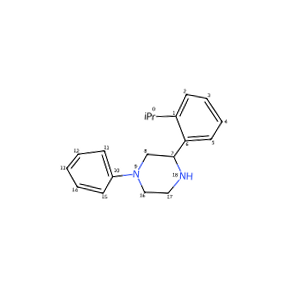 CC(C)c1ccccc1C1CN(c2ccccc2)CCN1